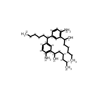 CCCCCC(O)c1cc(C(CCCCC)c2ccc(N)c(C(O)CCCCC)c2)ccc1N